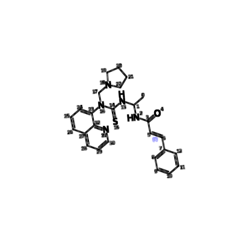 CC(NC(=O)/C=C/c1ccccc1)NC(=S)N(CN1CCCC1)c1cccc2cccnc12